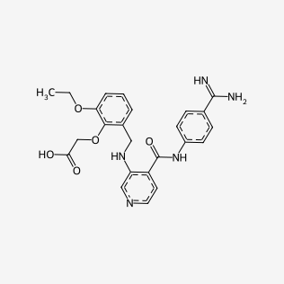 CCOc1cccc(CNc2cnccc2C(=O)Nc2ccc(C(=N)N)cc2)c1OCC(=O)O